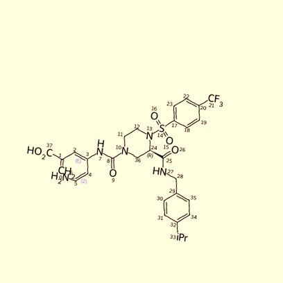 C=C(/C=C(\C=C/N)NC(=O)N1CCN(S(=O)(=O)c2ccc(C(F)(F)F)cc2)[C@@H](C(=O)NCc2ccc(C(C)C)cc2)C1)C(=O)O